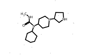 CNC(=O)N(C1CCCCC1)C1CCN(C2CCNC2)CC1